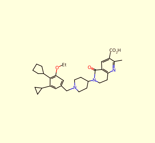 CCOc1cc(CN2CCC(N3CCc4nc(C)c(C(=O)O)cc4C3=O)CC2)cc(C2CC2)c1C1CCCC1